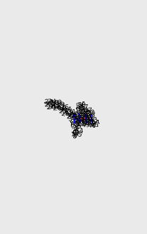 c1ccc(-c2ccc(N(c3ccc(-c4ccc(-c5ccc6ccccc6c5)cc4)cc3)c3ccc(-c4ccccc4-n4c5ccccc5c5ccccc54)c(-c4ccccc4)c3)cc2)cc1